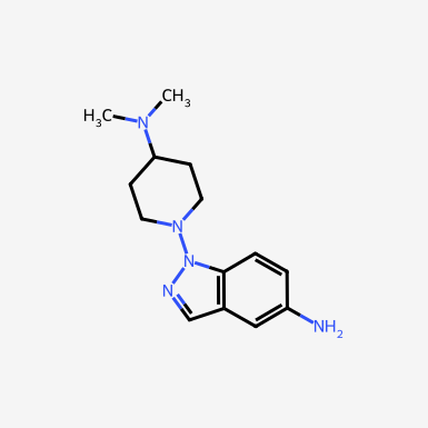 CN(C)C1CCN(n2ncc3cc(N)ccc32)CC1